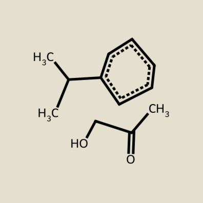 CC(=O)CO.CC(C)c1ccccc1